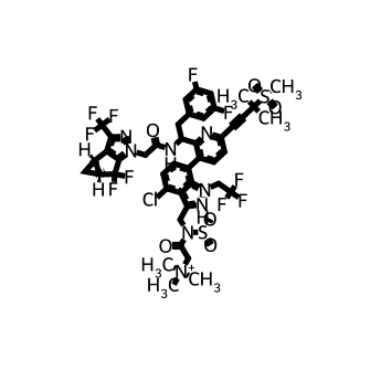 CC(C)(C#Cc1ccc(-c2ccc(Cl)c3c(CN(C(=O)C[N+](C)(C)C)[SH](=O)=O)nn(CC(F)(F)F)c23)c(C(Cc2cc(F)cc(F)c2)NC(=O)Cn2nc(C(F)(F)F)c3c2C(F)(F)[C@@H]2C[C@H]32)n1)S(C)(=O)=O